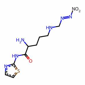 NC(CCCNCN=N[N+](=O)[O-])C(=O)Nc1nccs1